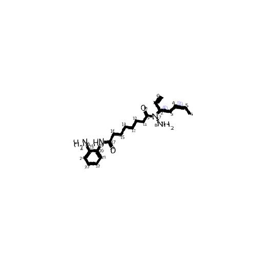 C=C/C(=C\C=C/C)N(N)C(=O)CCCCCCC(=O)Nc1ccccc1N